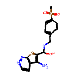 CS(=O)(=O)c1ccc(CNC(O)c2sc3nnccc3c2N)cc1